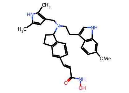 COc1ccc2c(CCN(Cc3cc(C)[nH]c3C)C3CCc4cc(C=CC(=O)NO)ccc43)c[nH]c2c1